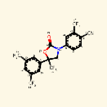 N#Cc1ccc(N2CC(c3cc(C(F)(F)F)cc(C(F)(F)F)c3)(C(F)(F)F)OC2=O)cc1C(F)(F)F